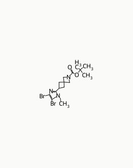 CCn1c(C2CC3(C2)CN(C(=O)OC(C)(C)C)C3)nc(Br)c1Br